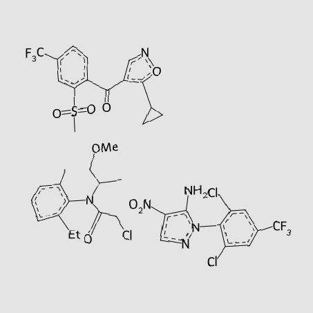 CCc1cccc(C)c1N(C(=O)CCl)C(C)COC.CS(=O)(=O)c1cc(C(F)(F)F)ccc1C(=O)c1cnoc1C1CC1.Nc1c([N+](=O)[O-])cnn1-c1c(Cl)cc(C(F)(F)F)cc1Cl